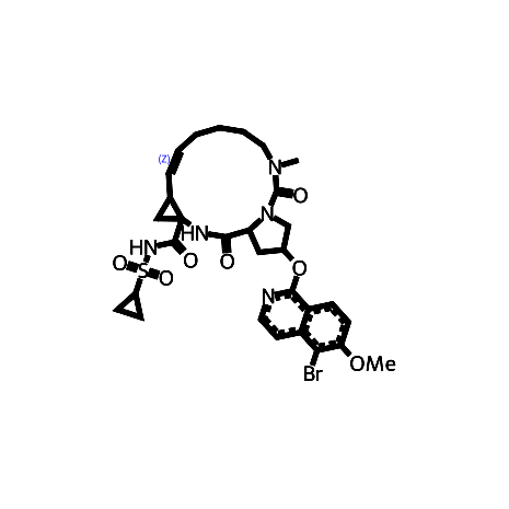 COc1ccc2c(OC3CC4C(=O)NC5(C(=O)NS(=O)(=O)C6CC6)CC5/C=C\CCCCN(C)C(=O)N4C3)nccc2c1Br